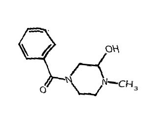 CN1CCN(C(=O)c2c[c]ccc2)CC1O